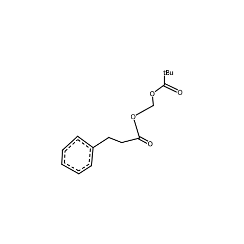 CC(C)(C)C(=O)OCOC(=O)CCc1ccccc1